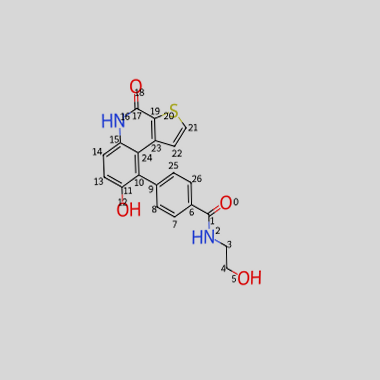 O=C(NCCO)c1ccc(-c2c(O)ccc3[nH]c(=O)c4sccc4c23)cc1